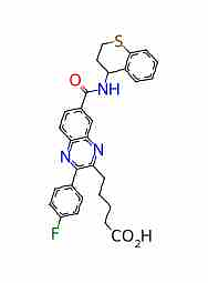 O=C(O)CCCCc1nc2cc(C(=O)NC3CCSc4ccccc43)ccc2nc1-c1ccc(F)cc1